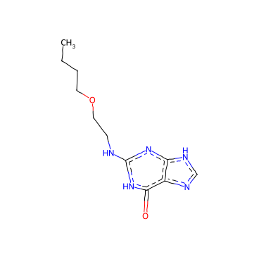 CCCCOCCNc1nc2[nH]cnc2c(=O)[nH]1